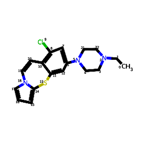 CCN1CCN(c2cc(Cl)c3c(c2)Sc2cccn2C=C3)CC1